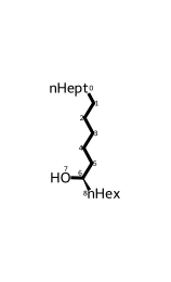 CCCCCCCCCCCC[C@H](O)CCCCCC